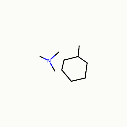 CC1CCCCC1.CN(C)C